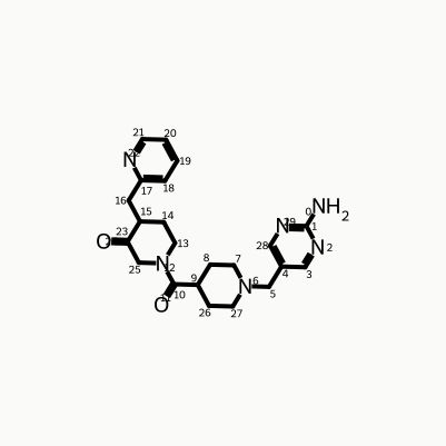 Nc1ncc(CN2CCC(C(=O)N3CCC(Cc4ccccn4)C(=O)C3)CC2)cn1